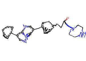 O=C(CCc1ccc(-c2cnc3c(-c4ccccc4)cnn3c2)cc1)N1CCNCC1